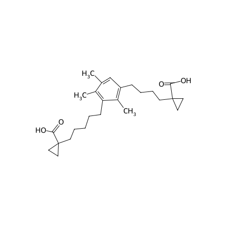 Cc1cc(CCCCC2(C(=O)O)CC2)c(C)c(CCCCCC2(C(=O)O)CC2)c1C